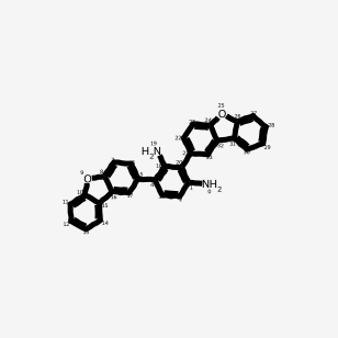 Nc1ccc(-c2ccc3oc4ccccc4c3c2)c(N)c1-c1ccc2oc3ccccc3c2c1